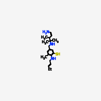 CC/C=C/CNc1c(C)cc(CNC(C)(C)C(C)/C=C\N)cc1S